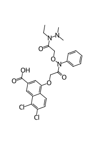 CCN(C(=O)CON(C(=O)COc1cc(C(=O)O)cc2c(Cl)c(Cl)ccc12)c1ccccc1)N(C)C